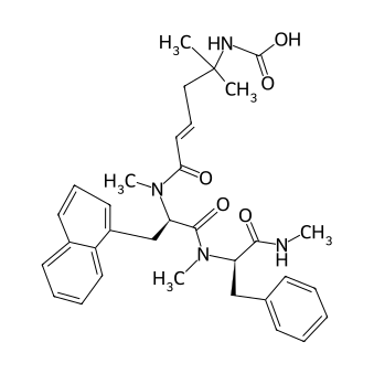 CNC(=O)[C@@H](Cc1ccccc1)N(C)C(=O)[C@@H](Cc1cccc2ccccc12)N(C)C(=O)C=CCC(C)(C)NC(=O)O